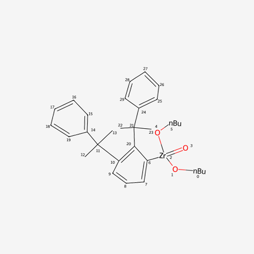 CCCC[O][Zr](=[O])([O]CCCC)[c]1cccc(C(C)(C)c2ccccc2)c1C(C)(C)c1ccccc1